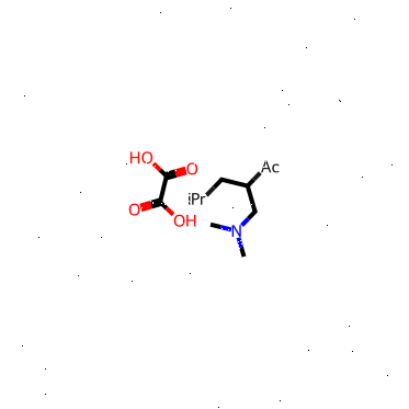 CC(=O)C(CC(C)C)CN(C)C.O=C(O)C(=O)O